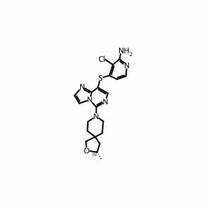 C[C@H]1CC2(CCN(c3ncc(Sc4ccnc(N)c4Cl)c4nccn34)CC2)CO1